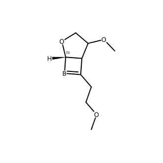 COCCC1=B[C@@H]2OCC(OC)C12